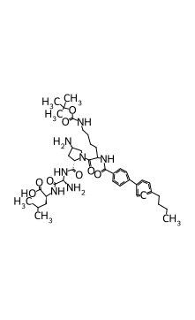 CCCCc1ccc(-c2ccc(C(=O)NC(CCCCNC(=O)OC(C)(C)C)C(=O)N3C[C@H](N)C[C@H]3C(=O)N[C@@H](N)C(=O)N[C@@H](CC(C)C)C(=O)O)cc2)cc1